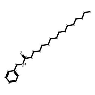 CCCCCCCCCCCCCCCC(=O)N[CH]c1ccccc1